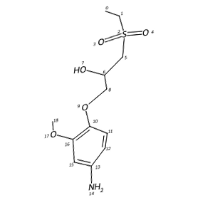 CCS(=O)(=O)CC(O)COc1ccc(N)cc1OC